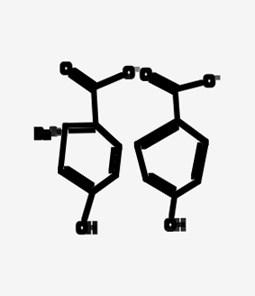 O=C([O-])c1ccc(O)cc1.O=C([O-])c1ccc(O)cc1.[Ba+2]